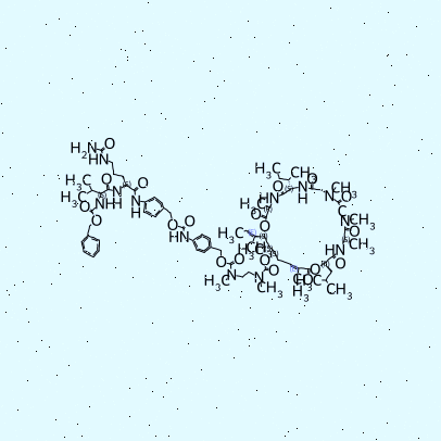 C/C=C(\C)[C@H]1OC(=O)[C@@H](C)NC(=O)[C@H](C(C)CC)NC(=O)CN(C)C(=O)CN(C)C(=O)[C@H](C)NC(=O)[C@@H](CC(C)C)OC(=O)/C(C)=C/C[C@H](OC(=O)N(C)CCN(C)C(=O)OCc2ccc(NC(=O)OCc3ccc(NC(=O)[C@H](CCCNC(N)=O)NC(=O)[C@@H](NC(=O)OCc4ccccc4)C(C)C)cc3)cc2)[C@@H]1C